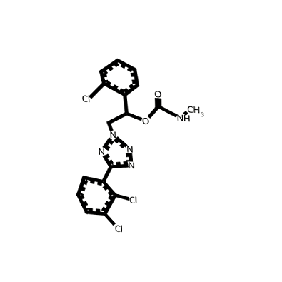 CNC(=O)OC(Cn1nnc(-c2cccc(Cl)c2Cl)n1)c1ccccc1Cl